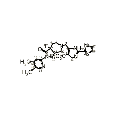 CCOC(=O)C1=C(CN2CCC3(F)C(=O)N(c4cc(C)c(C)cn4)CC3C2)NC(c2nccs2)=NC1